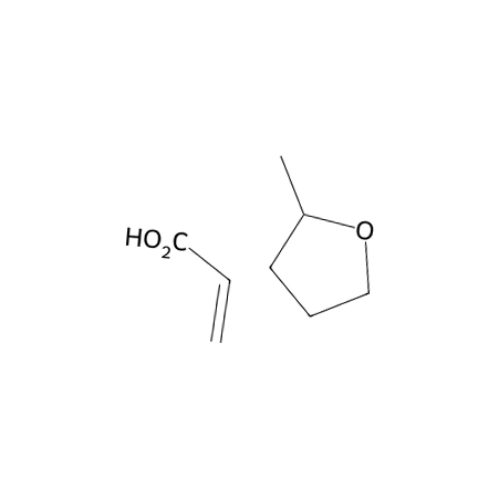 C=CC(=O)O.CC1CCCO1